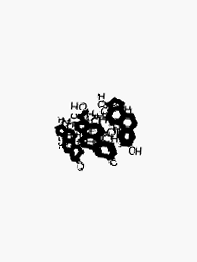 CC(=O)[C@H]1CC[C@H]2[C@@H]3CCC4=CC(=O)CC[C@]4(C)[C@H]3CC[C@]12C.C[C@@H]1C[C@H]2[C@@H]3CCC4=CC(=O)C=C[C@]4(C)[C@@]3(F)[C@@H](O)C[C@]2(C)[C@@]1(O)C(=O)CO.C[C@]12CC[C@@H]3c4ccc(O)cc4CC[C@H]3[C@@H]1CC[C@@H]2O